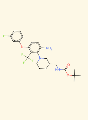 CC(C)(C)OC(=O)NC[C@@H]1CCCN(c2c(N)ccc(Oc3cccc(F)c3)c2C(F)(F)F)C1